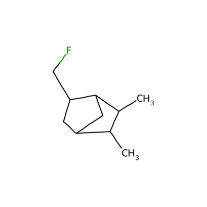 CC1C2CC(CF)C(C2)C1C